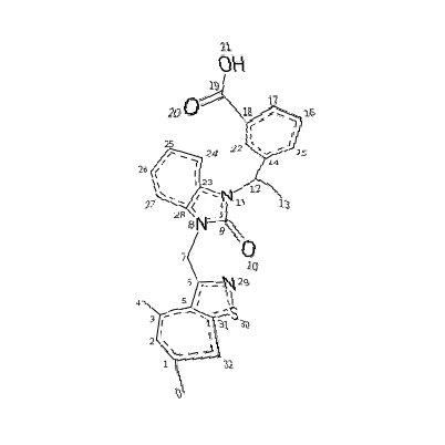 Cc1cc(C)c2c(Cn3c(=O)n(C(C)c4cccc(C(=O)O)c4)c4ccccc43)nsc2c1